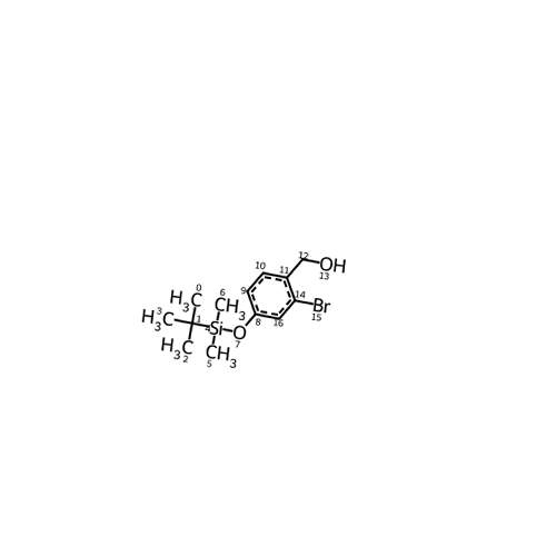 CC(C)(C)[Si](C)(C)Oc1ccc(CO)c(Br)c1